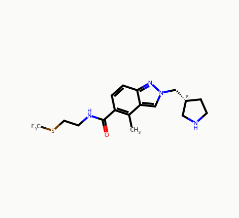 Cc1c(C(=O)NCCSC(F)(F)F)ccc2nn(C[C@@H]3CCNC3)cc12